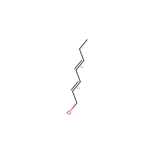 CC/C=C/C=C/C[O]